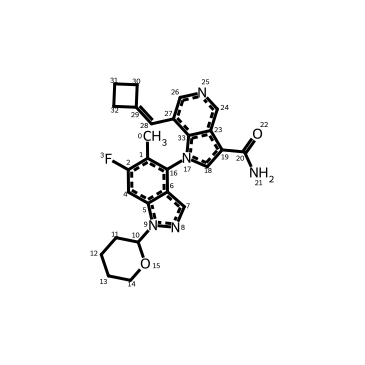 Cc1c(F)cc2c(cnn2C2CCCCO2)c1-n1cc(C(N)=O)c2cncc(C=C3CCC3)c21